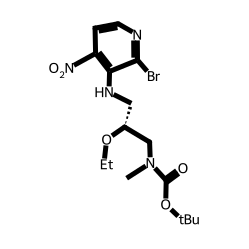 CCO[C@H](CNc1c([N+](=O)[O-])ccnc1Br)CN(C)C(=O)OC(C)(C)C